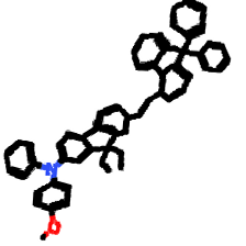 CCC1(CC)c2cc(/C=C/c3cccc4c3-c3ccccc3C4(c3ccccc3)c3ccccc3)ccc2-c2ccc(N(c3ccccc3)c3ccc(OC)cc3)cc21